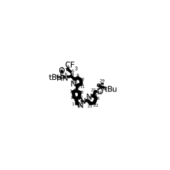 CC(C)(C)[S@@+]([O-])N[C@@H](CCC(F)(F)F)c1cccc(-c2ccc3cnn(-c4cccc(CO[Si](C)(C)C(C)(C)C)n4)c3c2)n1